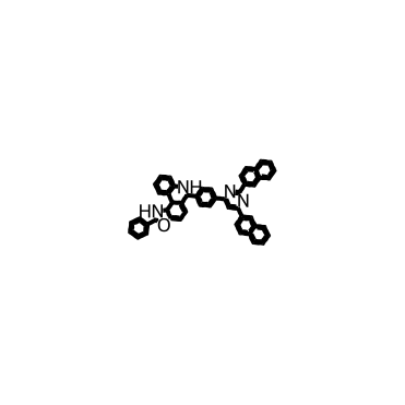 C1=C2OC(c3ccccc3)NC2C2C(=C1)C(c1ccc(-c3cc(-c4ccc5ccccc5c4)nc(-c4ccc5ccccc5c4)n3)cc1)Nc1ccccc12